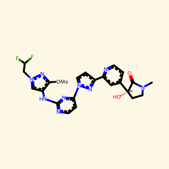 COc1nn(CC(F)F)cc1Nc1nccc(-n2ccc(-c3cc([C@]4(O)CCN(C)C4=O)ccn3)n2)n1